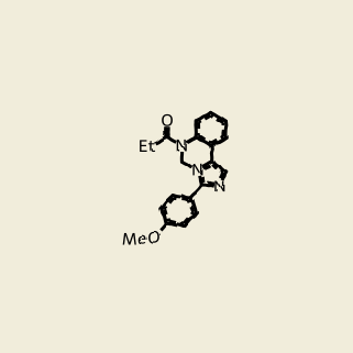 CCC(=O)N1Cn2c(cnc2-c2ccc(OC)cc2)-c2ccccc21